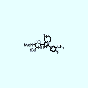 CNC(=O)C(NC(=O)c1nc(-c2ccc(F)c(C(F)(F)F)c2)n2c1CN(C)CCC2)C(C)(C)C